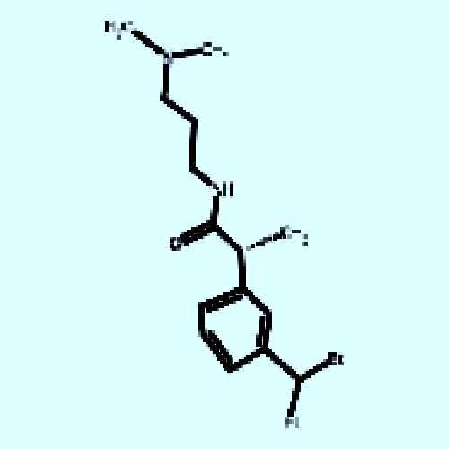 CCC(CC)c1cccc([C@@H](C)C(=O)NCCCN(C)C)c1